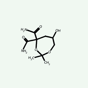 CC1(C)OCC(O)[CH]C(C(N)=O)(C(N)=O)O1